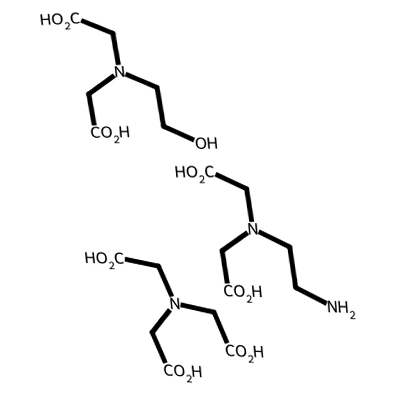 NCCN(CC(=O)O)CC(=O)O.O=C(O)CN(CC(=O)O)CC(=O)O.O=C(O)CN(CCO)CC(=O)O